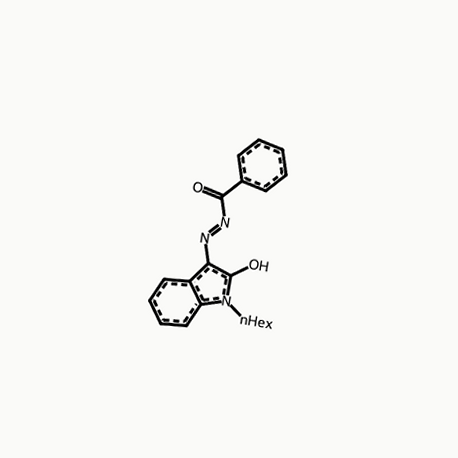 CCCCCCn1c(O)c(N=NC(=O)c2ccccc2)c2ccccc21